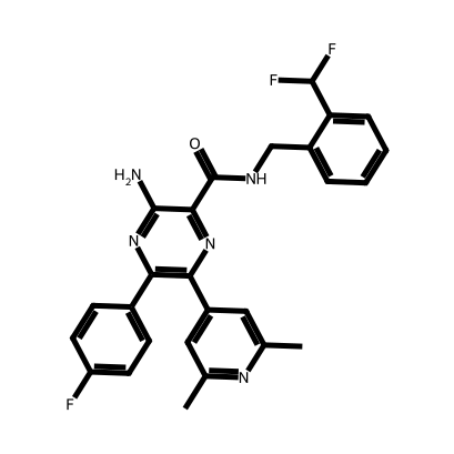 Cc1cc(-c2nc(C(=O)NCc3ccccc3C(F)F)c(N)nc2-c2ccc(F)cc2)cc(C)n1